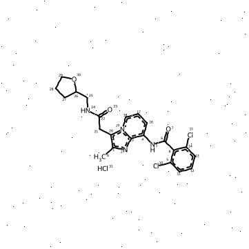 Cc1nc2c(NC(=O)c3c(Cl)cccc3Cl)cccn2c1CC(=O)NCC1CCCO1.Cl